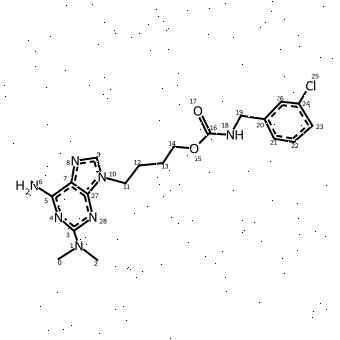 CN(C)c1nc(N)c2ncn(CCCCOC(=O)NCc3cccc(Cl)c3)c2n1